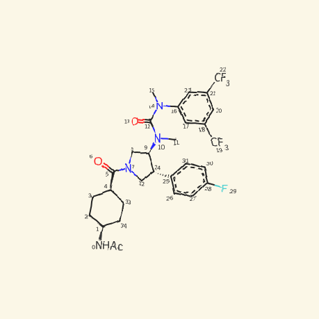 CC(=O)N[C@H]1CC[C@@H](C(=O)N2C[C@@H](N(C)C(=O)N(C)c3cc(C(F)(F)F)cc(C(F)(F)F)c3)[C@H](c3ccc(F)cc3)C2)CC1